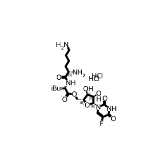 CC[C@H](C)[C@H](NC(=O)[C@@H](N)CCCCN)C(=O)OC[C@H]1O[C@@H](n2cc(F)c(=O)[nH]c2=O)[C@H](O)[C@@H]1O.Cl.Cl